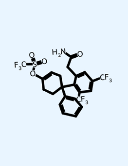 NC(=O)Cc1cc(C(F)(F)F)cc(C(F)(F)F)c1C1(c2ccccc2)CC=C(OS(=O)(=O)C(F)(F)F)CC1